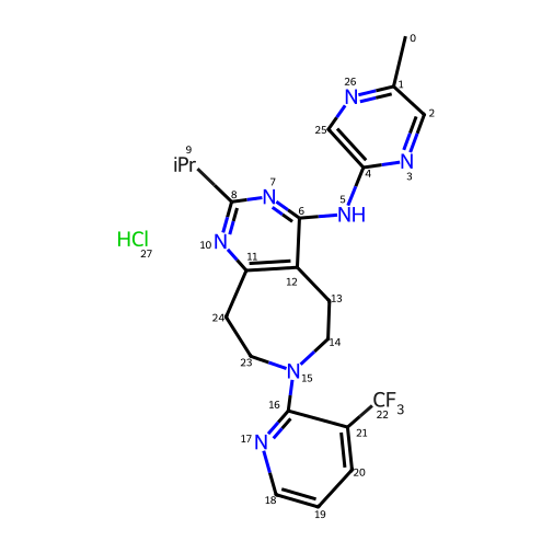 Cc1cnc(Nc2nc(C(C)C)nc3c2CCN(c2ncccc2C(F)(F)F)CC3)cn1.Cl